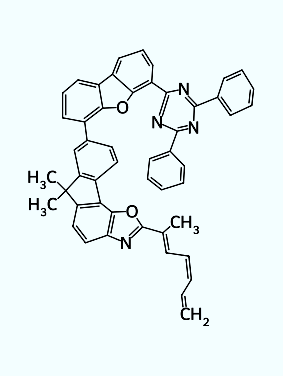 C=C/C=C\C=C(/C)c1nc2ccc3c(c2o1)-c1ccc(-c2cccc4c2oc2c(-c5nc(-c6ccccc6)nc(-c6ccccc6)n5)cccc24)cc1C3(C)C